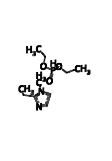 CCO[PH](=O)OCC.CCc1nccn1C